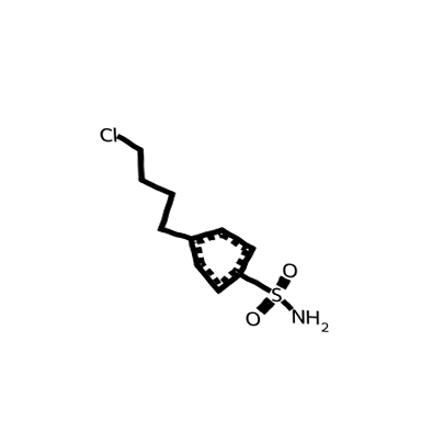 NS(=O)(=O)c1ccc(CCCCCl)cc1